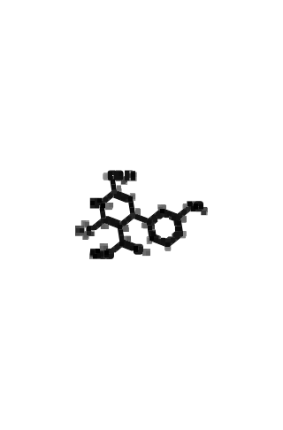 CCOC(=O)C1=CC(c2cccc([N+](=O)[O-])c2)C(C(=O)OC)=C(C)N1